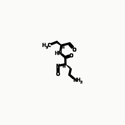 CC[C@@H](C=O)NC(=O)[C@H](CCN)N=O